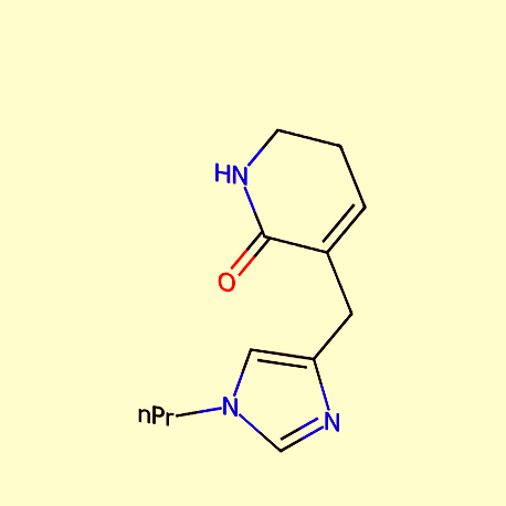 CCCn1cnc(CC2=CCCNC2=O)c1